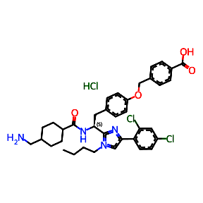 CCCCn1cc(-c2ccc(Cl)cc2Cl)nc1[C@H](Cc1ccc(OCc2ccc(C(=O)O)cc2)cc1)NC(=O)C1CCC(CN)CC1.Cl